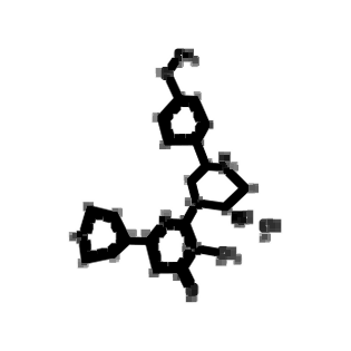 COc1ccc(C2CN(c3nc(-c4ccncc4)cc(=O)n3C)CCN2)cc1.Cl.Cl